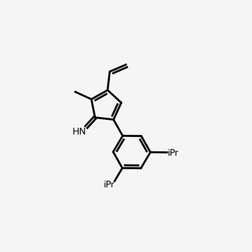 C=CC1=C(C)C(=N)C(c2cc(C(C)C)cc(C(C)C)c2)=C1